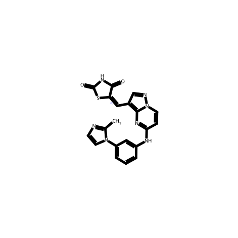 Cc1nccn1-c1cccc(Nc2ccn3ncc(/C=C4/SC(=O)NC4=O)c3n2)c1